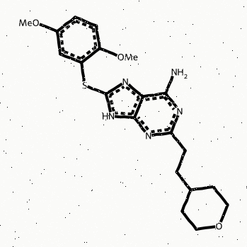 COc1ccc(OC)c(Sc2nc3c(N)nc(CCC4CCOCC4)nc3[nH]2)c1